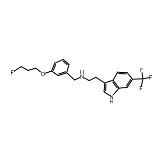 FCCCOc1cccc(CNCCc2c[nH]c3cc(C(F)(F)F)ccc23)c1